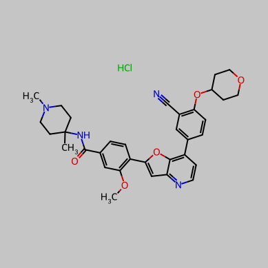 COc1cc(C(=O)NC2(C)CCN(C)CC2)ccc1-c1cc2nccc(-c3ccc(OC4CCOCC4)c(C#N)c3)c2o1.Cl